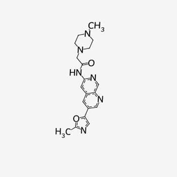 Cc1ncc(-c2cnc3cnc(NC(=O)CN4CCN(C)CC4)cc3c2)o1